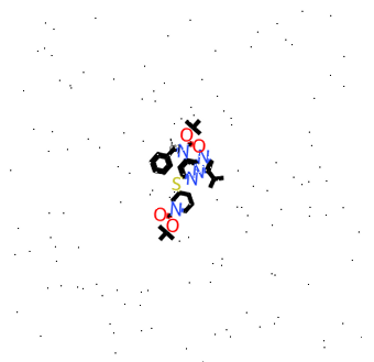 CC(C)c1cnc2c(N(C(=O)OC(C)(C)C)[C@@H](C)c3ccccc3)cc(SC3CCCN(C(=O)OC(C)(C)C)C3)nn12